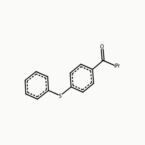 CC(C)C(=O)c1ccc(Sc2ccccc2)cc1